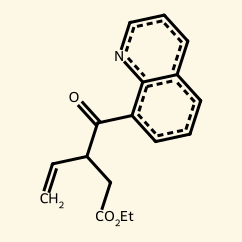 C=CC(CC(=O)OCC)C(=O)c1cccc2cccnc12